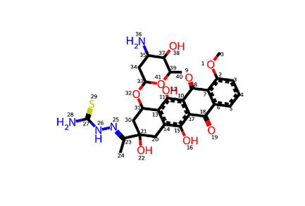 COc1cccc2c1C(=O)c1c(O)c3c(c(O)c1C2=O)CC(O)(C(C)=NNC(N)=S)CC3OC1CC(N)C(O)C(C)O1